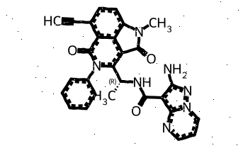 C#Cc1ccc2c3c(c([C@@H](C)NC(=O)c4c(N)nn5cccnc45)n(-c4ccccc4)c(=O)c13)C(=O)N2C